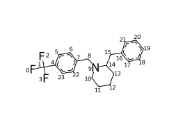 FC(F)(F)c1ccc(CN2CCCCC2Cc2ccccc2)cc1